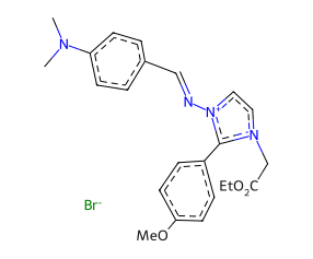 CCOC(=O)Cn1cc[n+](N=Cc2ccc(N(C)C)cc2)c1-c1ccc(OC)cc1.[Br-]